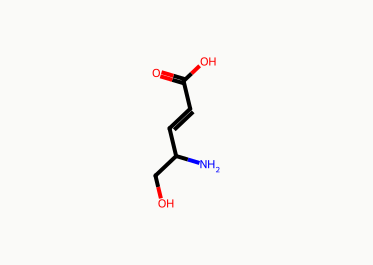 NC(/C=C/C(=O)O)CO